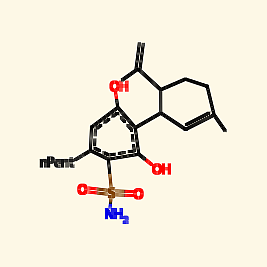 C=C(C)C1CCC(C)=CC1c1c(O)cc(CCCCC)c(S(N)(=O)=O)c1O